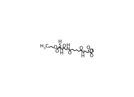 CCCCOC(=O)[C@H](S)NC(=O)CNC(=O)CCCCC(=O)NCCN1C(=O)C=CC1=O